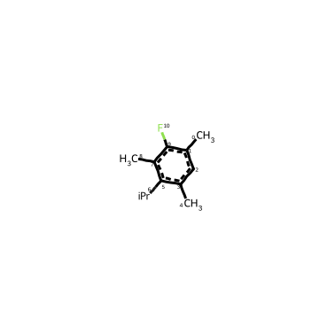 Cc1cc(C)c(C(C)C)c(C)c1F